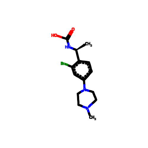 C[C@H](NC(=O)O)c1ccc(N2CCN(C)CC2)cc1Br